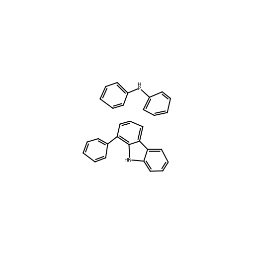 c1ccc(-c2cccc3c2[nH]c2ccccc23)cc1.c1ccc(Pc2ccccc2)cc1